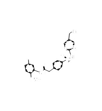 COc1ccc(Cl)cc1NC(=O)Cc1ccc(S(=O)(=O)Nc2ncc(CC(C)C)cn2)cc1